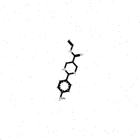 C=COC(=O)C1COC(c2ccc(OC)cc2)OC1